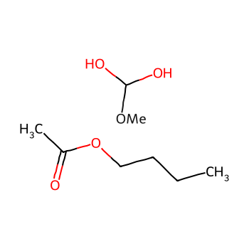 CCCCOC(C)=O.COC(O)O